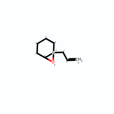 C=CC[Si]12CCCCC1O2